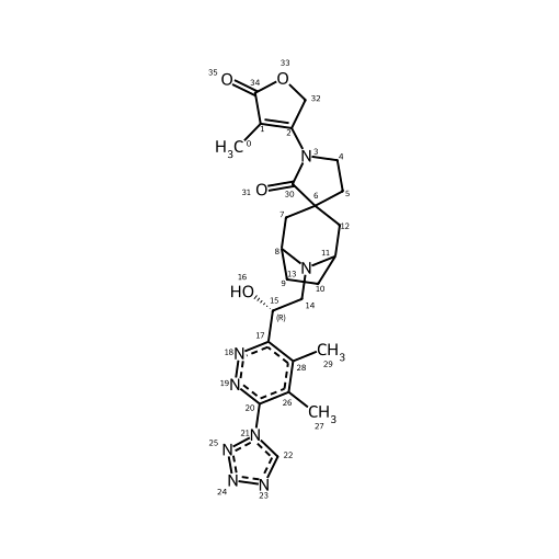 CC1=C(N2CCC3(CC4CCC(C3)N4C[C@@H](O)c3nnc(-n4cnnn4)c(C)c3C)C2=O)COC1=O